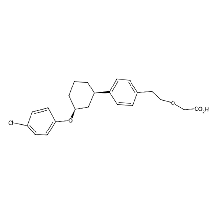 O=C(O)COCCc1ccc([C@@H]2CCC[C@H](Oc3ccc(Cl)cc3)C2)cc1